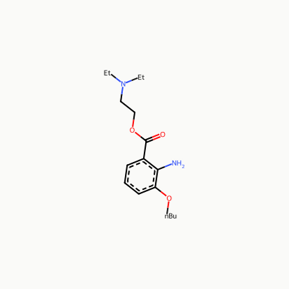 CCCCOc1cccc(C(=O)OCCN(CC)CC)c1N